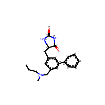 CCCN(C)Cc1cc(CC2NC(=O)NC2=O)cc(-c2ccccc2)c1